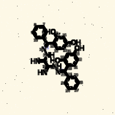 N=C(N/N=C(/c1ccccc1)c1ccc(O)cc1O)C(=N)N/N=C(/c1ccccc1)c1ccc(O)cc1O